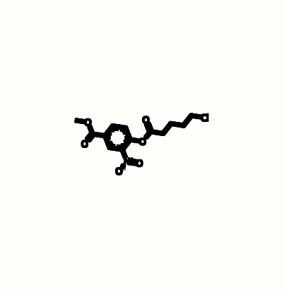 COC(=O)c1ccc(OC(=O)CCCCCl)c([N+](=O)[O-])c1